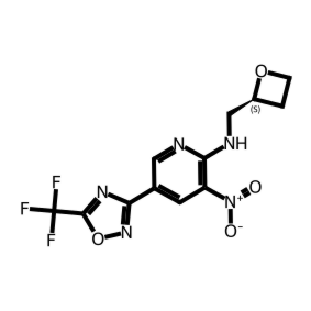 O=[N+]([O-])c1cc(-c2noc(C(F)(F)F)n2)cnc1NC[C@@H]1CCO1